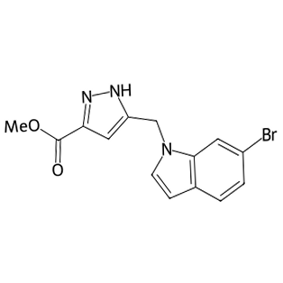 COC(=O)c1cc(Cn2ccc3ccc(Br)cc32)[nH]n1